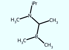 CB(C)C(C)N(C)C(C)C